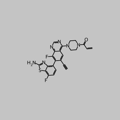 C#Cc1cc2c(N3CCN(C(=O)C=C)CC3)ncnc2c(F)c1-c1ccc(F)c2sc(N)nc12